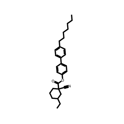 CCCCCCCc1ccc(-c2ccc(OC(=O)C3(C#N)CCCC(CC)C3)cc2)cc1